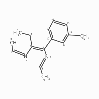 C\C=N/C(CC)=C(\N=C\C)c1cccc(C)c1